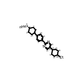 CCCCCCC1CCC(c2ccc(-c3ncc(C4CCC(CC)CC4)cn3)cc2)CC1